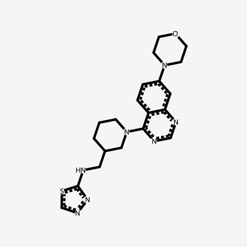 c1nc(N2CCCC(CNc3nncs3)C2)c2ccc(N3CCOCC3)cc2n1